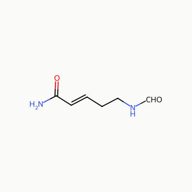 NC(=O)C=CCCNC=O